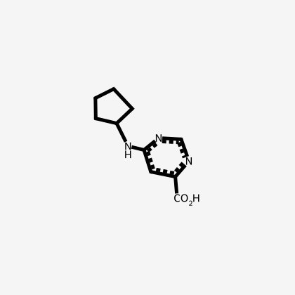 O=C(O)c1cc(NC2CCCC2)ncn1